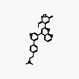 C=C(Cl)/C=C(\C(F)=C/C)c1cc(-c2cncc(-c3ccc(CCN(C)C)cc3)c2)c2cccnc2n1